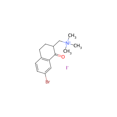 C[N+](C)(C)CC1CCc2ccc(Br)cc2C1=O.[I-]